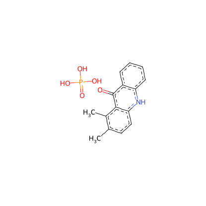 Cc1ccc2[nH]c3ccccc3c(=O)c2c1C.O=P(O)(O)O